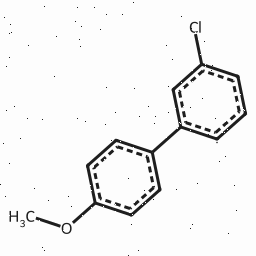 COc1ccc(-c2[c]ccc(Cl)c2)cc1